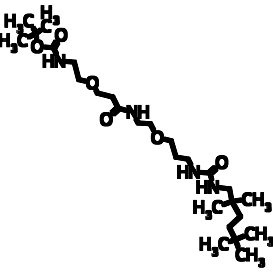 CC(C)(C)CCC(C)(C)CNC(=O)NCCCOCCNC(=O)CCOCCNC(=O)OC(C)(C)C